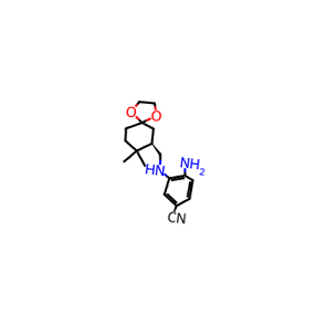 CC1(C)CCC2(C[C@H]1CNc1cc(C#N)ccc1N)OCCO2